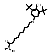 CN(O)C(=O)CCCCCCCCSc1cc(C(C)(C)C)c(O)c(C(C)(C)C)c1